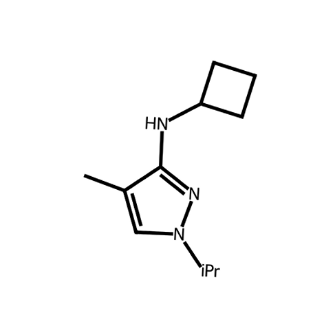 Cc1cn(C(C)C)nc1NC1CCC1